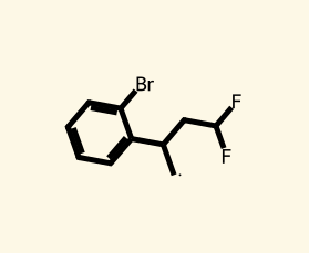 [CH2]C(CC(F)F)c1ccccc1Br